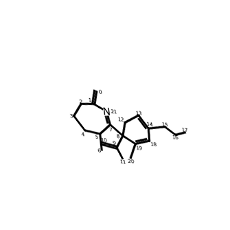 C=C1CCCC(C)C(C2(C(=C)C)CC=C(CCC)C=C2C)=N1